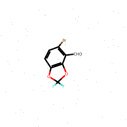 O=Cc1c(Br)ccc2c1OC(F)(F)O2